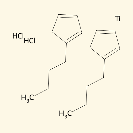 CCCCC1=CC=CC1.CCCCC1=CC=CC1.Cl.Cl.[Ti]